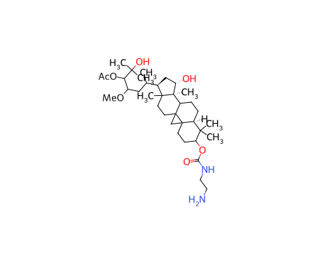 COC(C[C@@H](C)[C@H]1C[C@H](O)[C@@]2(C)C3CC[C@H]4C(C)(C)C(OC(=O)NCCN)CCC45CC35CCC12C)C(OC(C)=O)C(C)(C)O